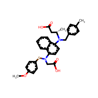 COc1ccc(SN(CC(=O)O)c2ccc(N(Cc3ccc(C)cc3)[C@@H](C)CC(=O)O)c3ccccc23)cc1